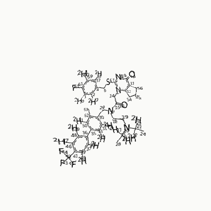 [2H]c1c([2H])c(CSc2nc(=O)c3c(n2CC(=O)N(CCN(C([2H])([2H])C)C([2H])([2H])C)Cc2c([2H])c([2H])c(-c4c([2H])c([2H])c(C(F)(F)F)c([2H])c4[2H])c([2H])c2C)CCC3)c([2H])c([2H])c1F